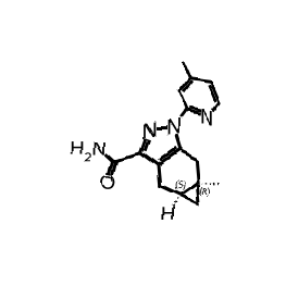 Cc1ccnc(-n2nc(C(N)=O)c3c2C[C@@]2(C)C[C@H]2C3)c1